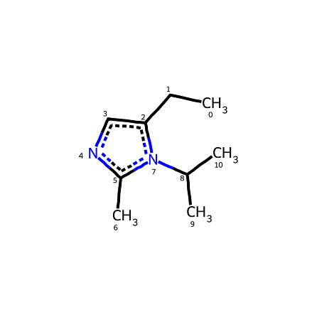 CCc1cnc(C)n1C(C)C